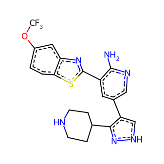 Nc1ncc(-c2c[nH]nc2C2CCNCC2)cc1-c1nc2cc(OC(F)(F)F)ccc2s1